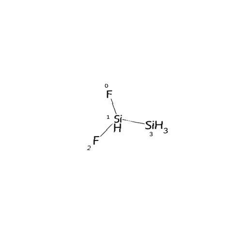 F[SiH](F)[SiH3]